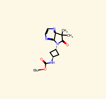 CC(C)(C)OC(=O)N[C@H]1C[C@H](N2C(=O)C(C)(C)c3nccnc32)C1